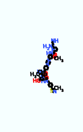 COc1cc(N2CCN(C3CCC(C(=O)N[C@H](C(=O)N4C[C@H](O)C[C@H]4C(=O)NCc4ccc(-c5scnc5C)cc4)C(C)(C)C)CC3)CC2)ccc1NC(=O)c1cccc(/C(N)=C/C=N)n1